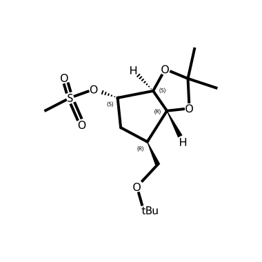 CC(C)(C)OC[C@H]1C[C@H](OS(C)(=O)=O)[C@H]2OC(C)(C)O[C@H]12